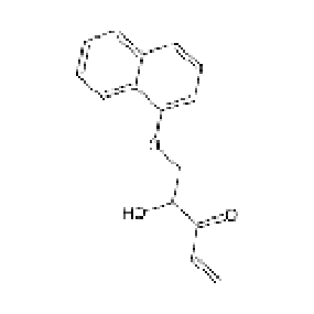 C=CC(=O)C(O)COc1cccc2ccccc12